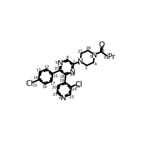 CC(C)C(=O)N1CCN(c2cnc(-c3ccc(Cl)cc3)c(-c3ccncc3Cl)n2)CC1